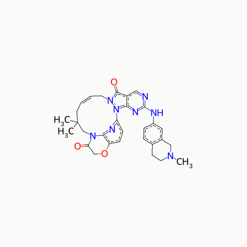 CN1CCc2ccc(Nc3ncc4c(=O)n5n(c4n3)-c3ccc4c(n3)N(CC(C)(C)C/C=C\C5)C(=O)CO4)cc2C1